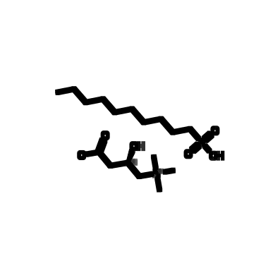 CCCCCCCCCCS(=O)(=O)O.C[N+](C)(C)C[C@H](O)CC(=O)[O-]